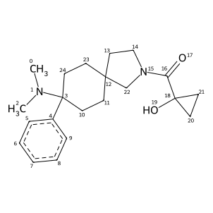 CN(C)C1(c2ccccc2)CCC2(CCN(C(=O)C3(O)CC3)C2)CC1